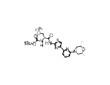 CCCOC[C@H](NC(=O)OC(C)(C)C)C(=O)Nc1nc(-c2cccc(N3C[C@@H](C)O[C@@H](C)C3)n2)cs1